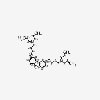 C=CCN(CC=C)CCCOc1ccc2oc3ccc(OCCCN(CC=C)CC=C)cc3c2c1